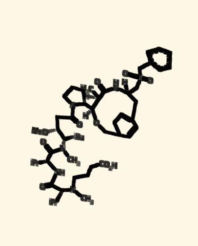 CC[C@H](C)[C@@H]([C@@H](CC(=O)N1CCC[C@H]1[C@@H]1OCC2C=CC(=CC2)C[C@@H](CS(=O)(=O)Cc2ccccc2)NC(=O)[C@@H]1C)OC)N(C)C(=O)[C@@H](NC(=O)[C@H](C(C)C)N(C)CCCC(=O)O)C(C)C